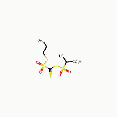 CCCCCCCCCCCCSS(=O)(=O)C(=S)SS(=O)(=O)C(C)C(=O)O